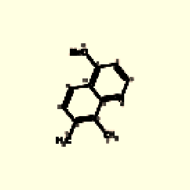 COc1ccnc2c(C)c(C)ccc12